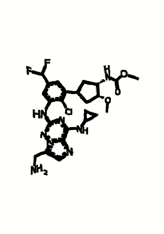 COC(=O)N[C@H]1CC(c2cc(C(F)F)cc(Nc3nc(NC4CC4)c4ncc(CN)n4n3)c2Cl)C[C@H]1OC